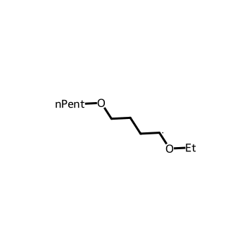 CCCCCOCCC[CH]OCC